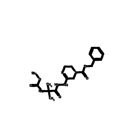 CC(C)(C)OC(=O)NC(C)(C)C(=O)NNC1=NCCN(C(=O)OCc2ccccc2)C1